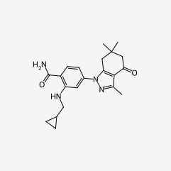 Cc1nn(-c2ccc(C(N)=O)c(NCC3CC3)c2)c2c1C(=O)CC(C)(C)C2